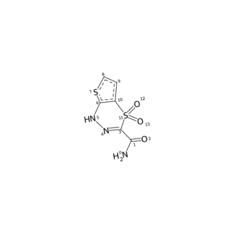 NC(=O)C1=NNc2sccc2S1(=O)=O